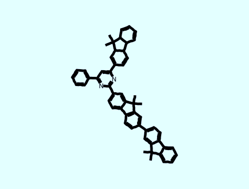 CC1(C)c2ccccc2-c2ccc(-c3ccc4c(c3)C(C)(C)c3cc(-c5nc(C6=CC7C(C=C6)C6C=CC=CC6C7(C)C)cc(-c6ccccc6)n5)ccc3-4)cc21